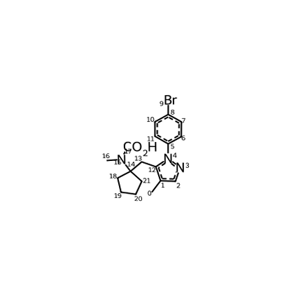 Cc1cnn(-c2ccc(Br)cc2)c1CC1(N(C)C(=O)O)CCCC1